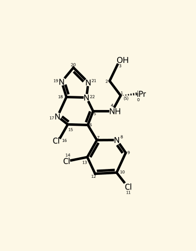 CC(C)[C@@H](CO)Nc1c(-c2ncc(Cl)cc2Cl)c(Cl)nc2ncnn12